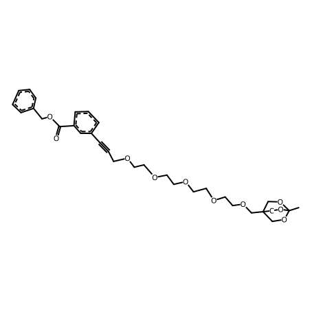 CC12OCC(COCCOCCOCCOCCOCC#Cc3cccc(C(=O)OCc4ccccc4)c3)(CO1)CO2